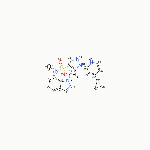 CN(c1cccc2cnn(C)c12)S(=O)(=O)c1cnn(-c2cc(C3CC3)ccn2)c1